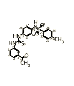 CC(=O)c1cccc(NC(=S)Nc2ccc(NS(=O)(=O)c3ccc(C)cc3)cc2)c1